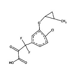 CC1CC1Oc1cc(C(F)(F)C(=O)C(=O)O)ccc1Cl